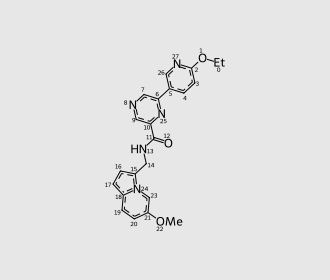 CCOc1ccc(-c2cncc(C(=O)NCc3ccc4ccc(OC)cn34)n2)cn1